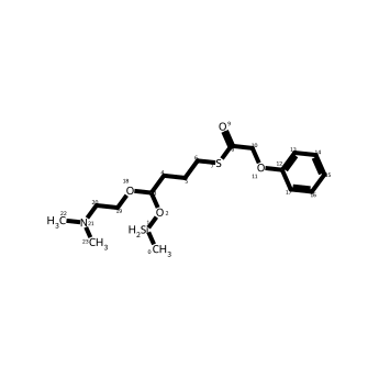 C[SiH2]OC(CCCSC(=O)COc1ccccc1)OCCN(C)C